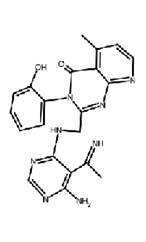 CC(=N)c1c(N)ncnc1NCc1nc2nccc(C)c2c(=O)n1-c1ccccc1O